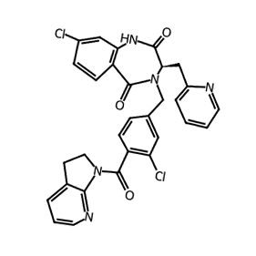 O=C1Nc2cc(Cl)ccc2C(=O)N(Cc2ccc(C(=O)N3CCc4cccnc43)c(Cl)c2)[C@@H]1Cc1ccccn1